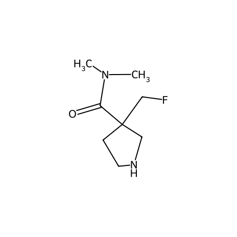 CN(C)C(=O)C1(CF)CCNC1